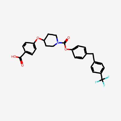 O=C(O)c1ccc(OC2CCN(C(=O)Oc3ccc(Cc4ccc(C(F)(F)F)cc4)cc3)CC2)cc1